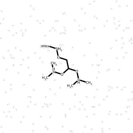 CCCCCC[SiH2]OCC(O[SiH](C)C)O[SiH](C)C